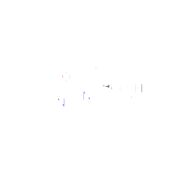 C[C@@H](C(=O)O)n1cccnc1=O